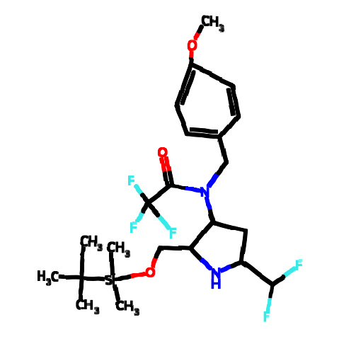 COc1ccc(CN(C(=O)C(F)(F)F)C2CC(C(F)F)NC2CO[Si](C)(C)C(C)(C)C)cc1